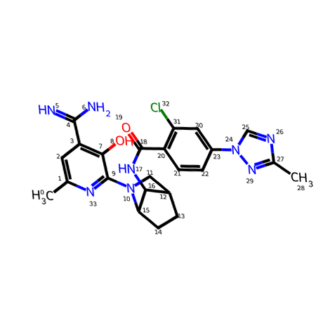 Cc1cc(C(=N)N)c(O)c(N2CC3CCC2C3NC(=O)c2ccc(-n3cnc(C)n3)cc2Cl)n1